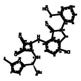 Cc1ccc([C@H](Nc2c(Nc3ccc(Cl)c4c3C(=O)N(c3ccncc3CO)C4)c(=O)c2=O)C(C)(C)C)o1